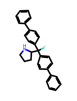 FC(c1ccc(-c2ccccc2)cc1)(c1ccc(-c2ccccc2)cc1)C1CCCN1